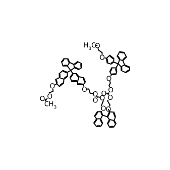 COCCOc1ccc(C2(c3ccc(OCCOC(=O)OCCOc4ccc5ccccc5c4-c4c(OCCOC(=O)OCCOc5ccc6cc(C7(c8ccc9cc(OCCOC(C)=O)ccc9c8)c8ccccc8-c8ccccc87)ccc6c5)ccc5ccccc45)cc3)c3ccccc3-c3ccccc32)cc1